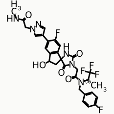 CNC(=O)Cn1cc(-c2cc3c(cc2F)C2(CC3O)NC(=O)N(CC(=O)N(Cc3ccc(F)cc3)[C@@H](C)C(F)(F)F)C2=O)cn1